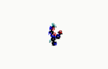 O=c1n(Cc2ccc(-c3nnc(C(F)F)o3)cn2)c2cc(F)c(-c3cccnc3)cc2n1C1CCCN(C2COC2)C1